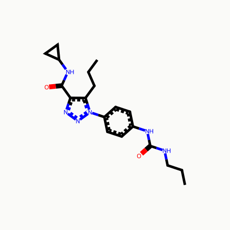 CCCNC(=O)Nc1ccc(-n2nnc(C(=O)NC3CC3)c2CCC)cc1